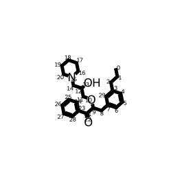 CCCc1cccc(CC(OCC(O)CN2CCCCC2)C(=O)c2ccccc2)c1